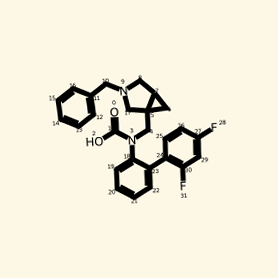 O=C(O)N(CC12CC1CN(Cc1ccccc1)C2)c1ccccc1-c1ccc(F)cc1F